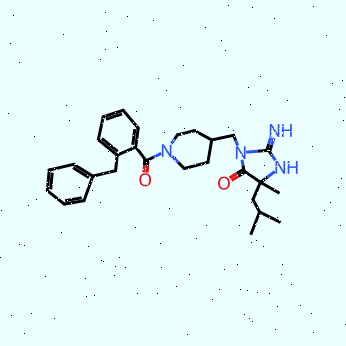 CC(C)CC1(C)NC(=N)N(CC2CCN(C(=O)c3ccccc3Cc3ccccc3)CC2)C1=O